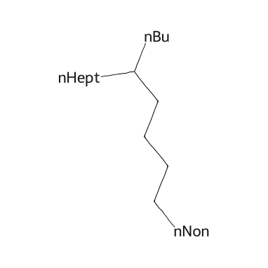 [CH2]CCCC(CCCCCCC)CCCCCCCCCCCCC